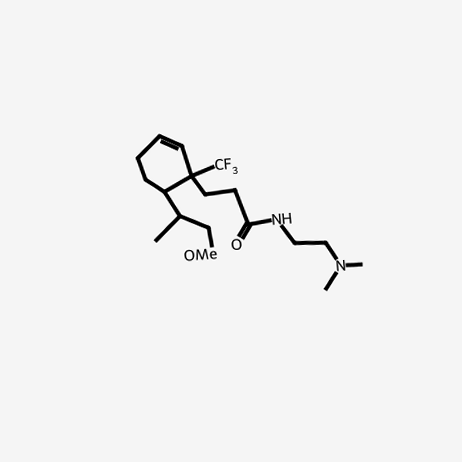 COCC(C)C1CCC=CC1(CCC(=O)NCCN(C)C)C(F)(F)F